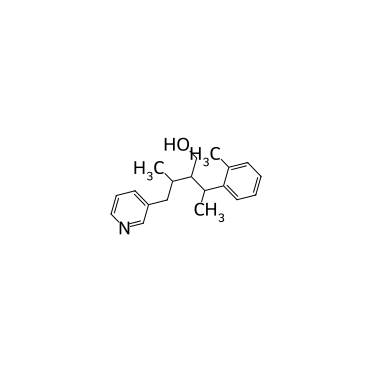 Cc1ccccc1C(C)C(CO)C(C)Cc1cccnc1